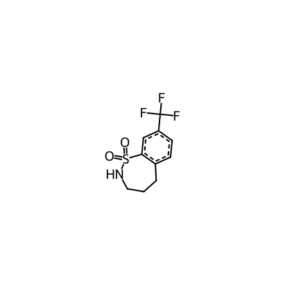 O=S1(=O)NCCCc2ccc(C(F)(F)F)cc21